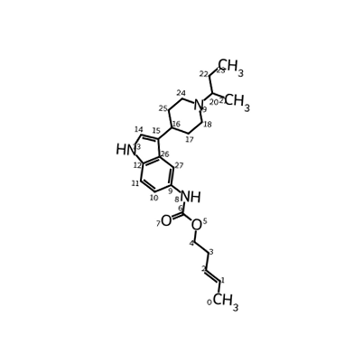 C/C=C/CCOC(=O)Nc1ccc2[nH]cc(C3CCN(C(C)CC)CC3)c2c1